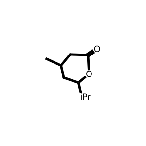 CC1CC(=O)OC(C(C)C)C1